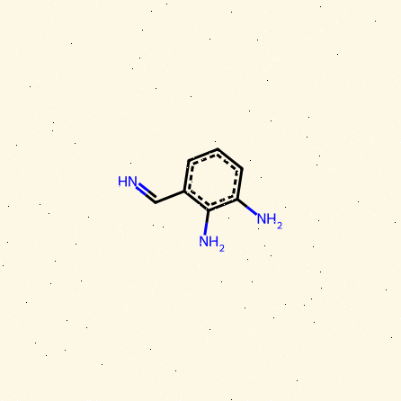 N=Cc1cccc(N)c1N